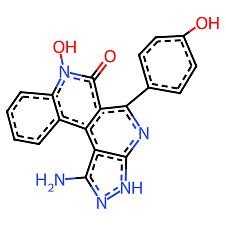 Nc1n[nH]c2nc(-c3ccc(O)cc3)c3c(=O)n(O)c4ccccc4c3c12